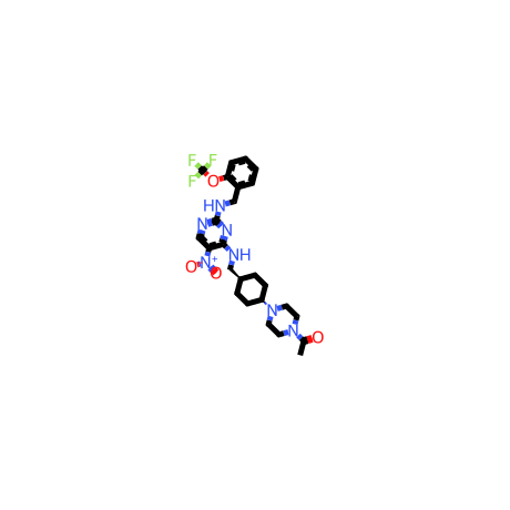 CC(=O)N1CCN([C@H]2CC[C@H](CNc3nc(NCc4ccccc4OC(F)(F)F)ncc3[N+](=O)[O-])CC2)CC1